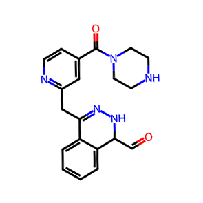 O=CC1NN=C(Cc2cc(C(=O)N3CCNCC3)ccn2)c2ccccc21